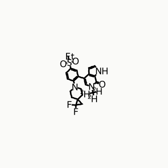 [2H]C([2H])([2H])n1cc(-c2cc(S(=O)(=O)CC)ccc2N2CCC3(CC2)CC3(F)F)c2cc[nH]c2c1=O